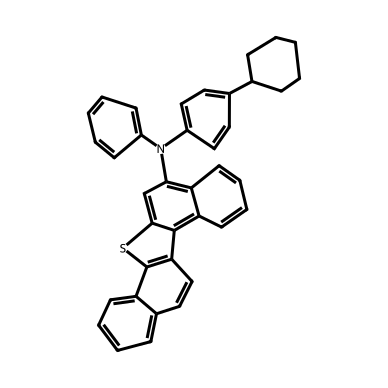 c1ccc(N(c2ccc(C3CCCCC3)cc2)c2cc3sc4c5ccccc5ccc4c3c3ccccc23)cc1